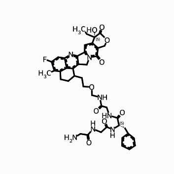 CC[C@@]1(O)C(=O)OCc2c1cc1n(c2=O)Cc2c-1nc1cc(F)c(C)c3c1c2C(CCOCNC(=O)CNC(=O)[C@H](Cc1ccccc1)NC(=O)CNC(=O)CN)CC3